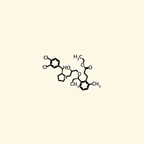 CCOC(=O)CCc1c(C)cccc1[C@@H](CC)OC[C@H](O)CN1CCC[C@H]1Cc1ccc(Cl)c(Cl)c1